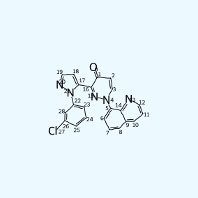 O=c1ccn(-c2cccc3cccnc23)nc1-c1ccnn1-c1cccc(Cl)c1